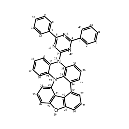 c1ccc(-c2nc(-c3ccccc3)nc(N3c4ccccc4-n4c5cccc6oc7cccc(c8cccc3c84)c7c65)n2)cc1